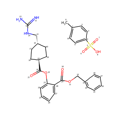 Cc1ccc(S(=O)(=O)O)cc1.N=C(N)NC[C@H]1CC[C@H](C(=O)Oc2ccccc2C(=O)OCc2ccccc2)CC1